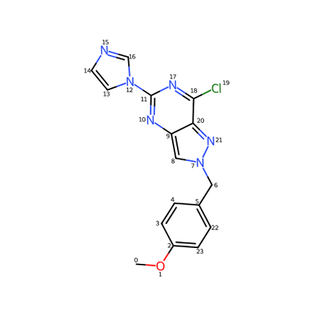 COc1ccc(Cn2cc3nc(-n4ccnc4)nc(Cl)c3n2)cc1